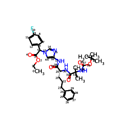 CCOC(=O)C(c1ccc(F)cc1)n1cnc(NC(=O)[C@@H](CCCc2ccccc2)NC(=O)C(C)(C)NC(=O)OC(C)(C)C)c1